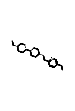 CCc1ccc(CC[C@H]2CC[C@H]([C@H]3CC[C@H](CC)CC3)CC2)nc1